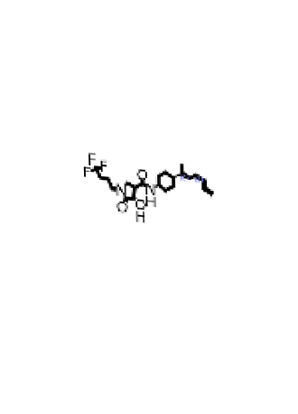 C=C/C=C\C=C(/C)[C@H]1CC[C@@H](NC(=O)C2=C(O)C(=O)N(CCCC(F)(F)F)C2)CC1